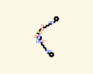 O=C(CCCCCNCc1ccccc1)Nc1ccn(C2CSC(COC(=O)CCCCCNCc3ccccc3)O2)c(=O)n1